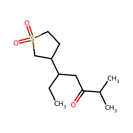 CCC(CC(=O)C(C)C)C1CCS(=O)(=O)C1